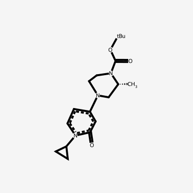 C[C@@H]1CN(c2ccn(C3CC3)c(=O)c2)CCN1C(=O)OC(C)(C)C